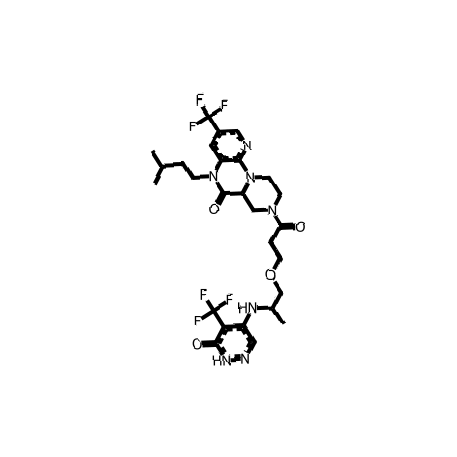 CC(C)CCN1C(=O)C2CN(C(=O)CCOCC(C)Nc3cn[nH]c(=O)c3C(F)(F)F)CCN2c2ncc(C(F)(F)F)cc21